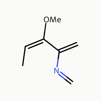 C=NC(=C)/C(=C\C)OC